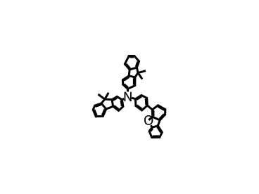 CC1(C)c2ccccc2-c2ccc(N(c3ccc(-c4cccc5c4oc4ccccc45)cc3)c3ccc4c(c3)C(C)(C)c3ccccc3-4)cc21